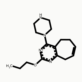 CCCOc1nc2c(c(N3CCNCC3)n1)CCC=CC2